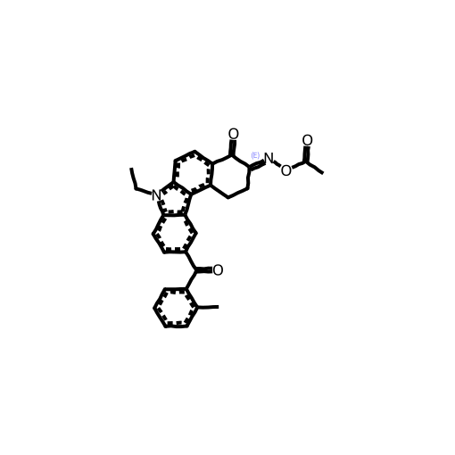 CCn1c2ccc(C(=O)c3ccccc3C)cc2c2c3c(ccc21)C(=O)/C(=N/OC(C)=O)CC3